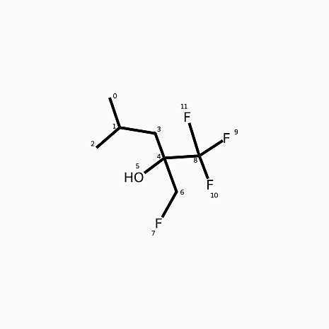 CC(C)CC(O)(CF)C(F)(F)F